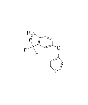 Nc1ccc(Oc2cc[c]cc2)cc1C(F)(F)F